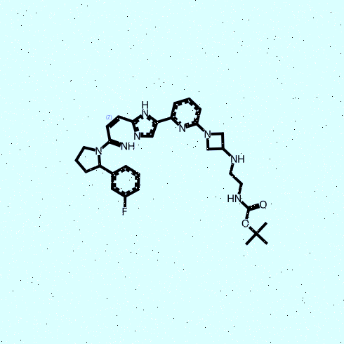 CC(C)(C)OC(=O)NCCNC1CN(c2cccc(-c3cnc(/C=C\C(=N)N4CCCC4c4cccc(F)c4)[nH]3)n2)C1